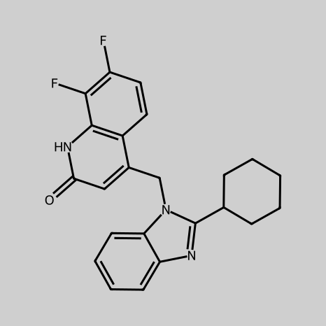 O=c1cc(Cn2c(C3CCCCC3)nc3ccccc32)c2ccc(F)c(F)c2[nH]1